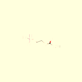 CC(C)[PH](=O)OCCSC(=O)C(C)(C)C